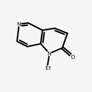 CCn1c(=O)ccc2cnccc21